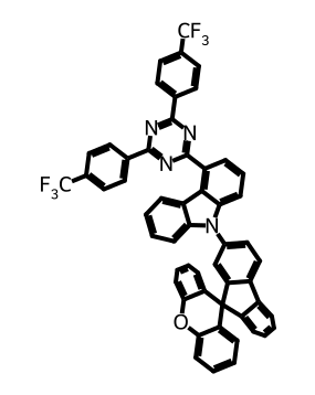 FC(F)(F)c1ccc(-c2nc(-c3ccc(C(F)(F)F)cc3)nc(-c3cccc4c3c3ccccc3n4-c3ccc4c(c3)C3(c5ccccc5Oc5ccccc53)c3ccccc3-4)n2)cc1